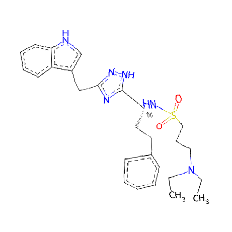 CCN(CC)CCCS(=O)(=O)N[C@H](CCc1ccccc1)c1nc(Cc2c[nH]c3ccccc23)n[nH]1